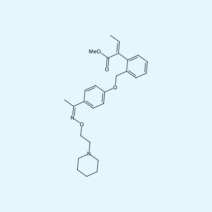 CC=C(C(=O)OC)c1ccccc1COc1ccc(/C(C)=N\OCCN2CCCCC2)cc1